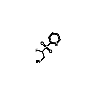 CC(C)CC(F)S(=O)(=O)c1ccccn1